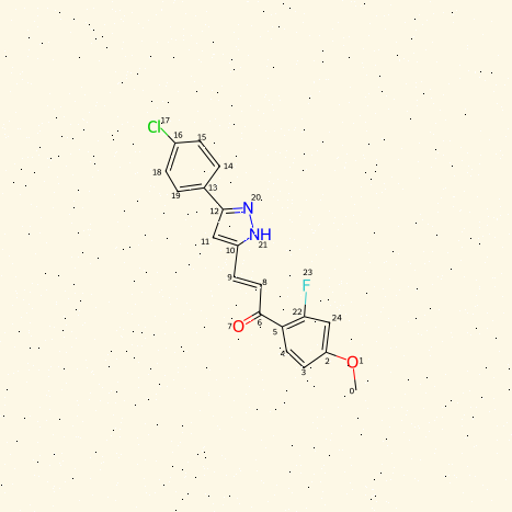 COc1ccc(C(=O)C=Cc2cc(-c3ccc(Cl)cc3)n[nH]2)c(F)c1